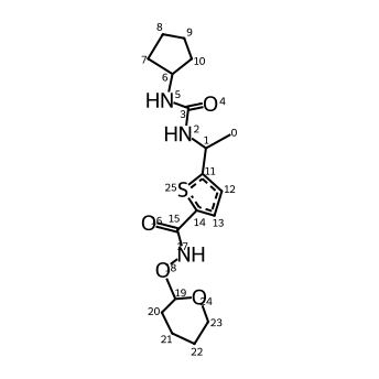 CC(NC(=O)NC1CCCC1)c1ccc(C(=O)NOC2CCCCO2)s1